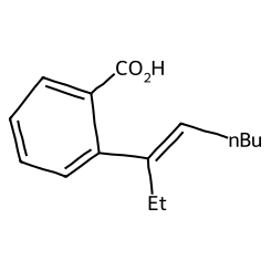 CCCCC=C(CC)c1ccccc1C(=O)O